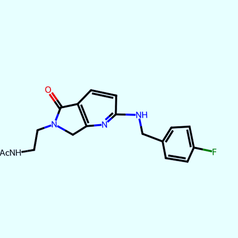 CC(=O)NCCN1Cc2nc(NCc3ccc(F)cc3)ccc2C1=O